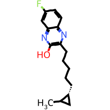 CC1C[C@H]1CCCCCc1nc2ccc(F)cc2nc1O